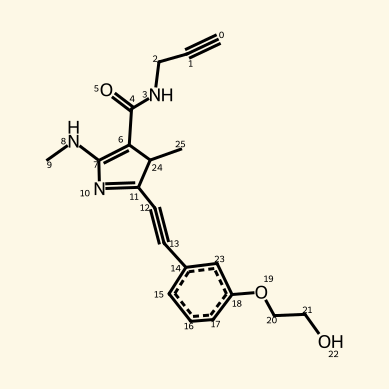 C#CCNC(=O)C1=C(NC)N=C(C#Cc2cccc(OCCO)c2)C1C